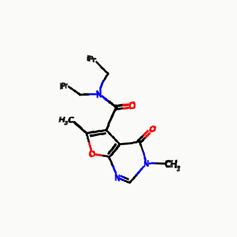 Cc1oc2ncn(C)c(=O)c2c1C(=O)N(CC(C)C)CC(C)C